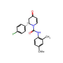 COc1ccc(NC(=O)N2C=CC(=O)C[C@H]2c2ccc(F)cc2)c(C)c1